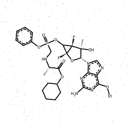 CCOc1nc(N)nc2c1ncn2[C@@H]1O[C@]2(F)C(OP(=O)(CN[C@@H](C)C(=O)OC3CCCCC3)Oc3ccccc3)[C@]2(F)[C@@]1(C)O